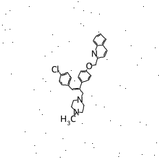 CN1CCN(CC(=Cc2ccc(Cl)cc2)c2ccc(OCc3ccc4ccccc4n3)cc2)CC1